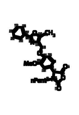 CCCCCN1C(=O)OC(=O)C1c1ccc(OCc2nc(-c3ccccc3)oc2C)c(OC)c1